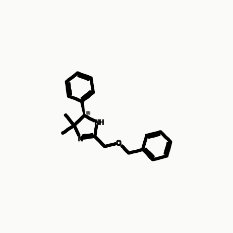 CC1(C)N=C(COCc2ccccc2)N[C@@H]1c1ccccc1